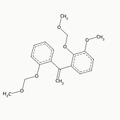 C=C(c1ccccc1OCOC)c1cccc(OC)c1OCOC